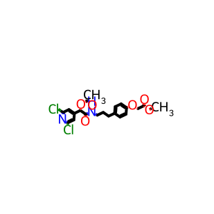 COC(=O)COc1ccc(CCCNC(=O)C(OC(C)=O)c2cc(Cl)nc(Cl)c2)cc1